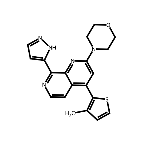 Cc1ccsc1-c1cc(N2CCOCC2)nc2c(-c3ccn[nH]3)nccc12